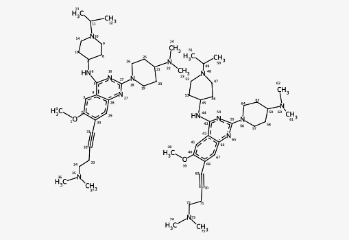 COc1cc2c(NC3CCN(C(C)C)CC3)nc(N3CCC(N(C)C)CC3)nc2cc1C#CCCN(C)C.COc1cc2c(NC3CCN(C(C)C)CC3)nc(N3CCC(N(C)C)CC3)nc2cc1C#CCCN(C)C